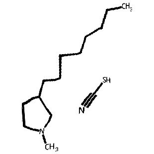 CCCCCCCCC1CCN(C)C1.N#CS